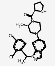 CC(c1ccc(Cl)cc1Cl)n1ncc2ccc(N3CCN(C(=O)[C@H]4CCCN4)[C@H](C)C3)cc21